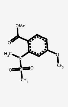 COC(=O)c1ccc(OC(F)(F)F)cc1N(C)S(C)(=O)=O